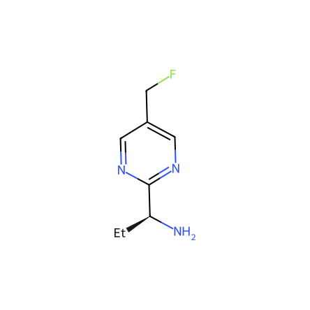 CC[C@H](N)c1ncc(CF)cn1